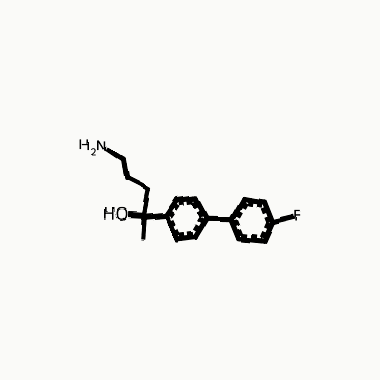 CC(O)(CCCN)c1ccc(-c2ccc(F)cc2)cc1